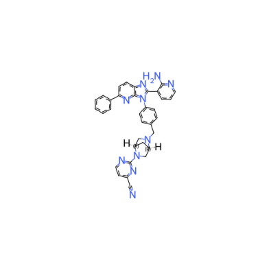 N#Cc1ccnc(N2C[C@H]3C[C@@H]2CN3Cc2ccc(-n3c(-c4cccnc4N)nc4ccc(-c5ccccc5)nc43)cc2)n1